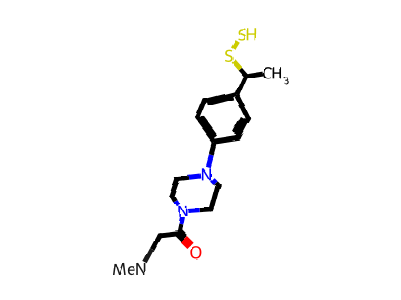 CNCC(=O)N1CCN(c2ccc(C(C)SS)cc2)CC1